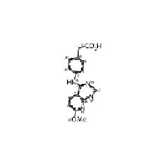 COc1ccc2c(Nc3ccc(CC(=O)O)cc3)ncnc2n1